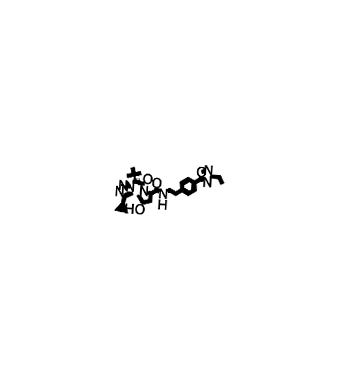 CCc1noc(-c2ccc(CCNC(=O)C3CC(O)CN3C(=O)[C@@H](n3cc(C4CC4)nn3)C(C)(C)C)cc2)n1